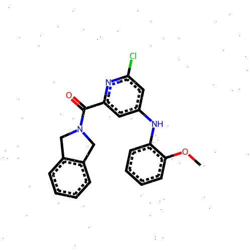 COc1ccccc1Nc1cc(Cl)nc(C(=O)N2Cc3ccccc3C2)c1